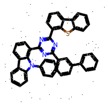 c1ccc(-c2cccc(-c3nc(-c4cccc5c4sc4ccccc45)nc(-c4cccc5c6ccccc6n(-c6ccccc6)c45)n3)c2)cc1